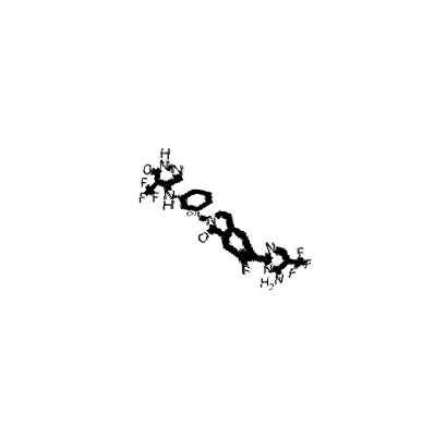 Nc1nc(-c2cc3ccn(C[C@H]4CCC[C@H](Nc5cn[nH]c(=O)c5C(F)(F)F)C4)c(=O)c3cc2F)ncc1C(F)(F)F